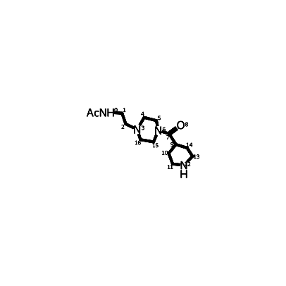 CC(=O)NCCN1CCN(C(=O)C2CCNCC2)CC1